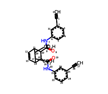 C#Cc1cccc(NC(=O)C2C3C=CC(C2C(=O)O)C(C(=O)Nc2cccc(C#C)c2)C3C(=O)O)c1